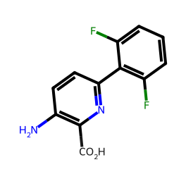 Nc1ccc(-c2c(F)cccc2F)nc1C(=O)O